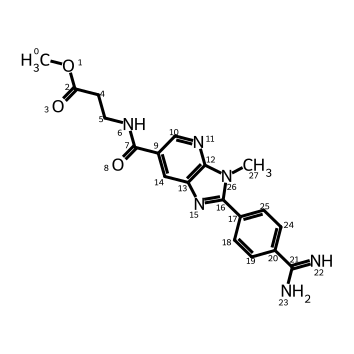 COC(=O)CCNC(=O)c1cnc2c(c1)nc(-c1ccc(C(=N)N)cc1)n2C